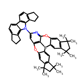 CC1(C)CC(C)(C)c2cc3c(cc21)Oc1cc(-n2c4c5c(ccc4c4ccc6c(c42)CCC6)CCC5)nc2c1B3c1cc3c(cc1O2)C(C)(C)CC3(C)C